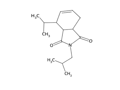 CC(C)CN1C(=O)C2CC=CC(C(C)C)C2C1=O